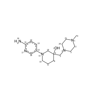 CN1CCN(CC2(O)CCCN(c3ccc(N)nc3)C2)CC1